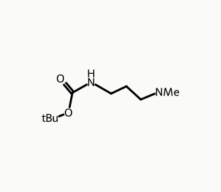 [CH2]NCCCNC(=O)OC(C)(C)C